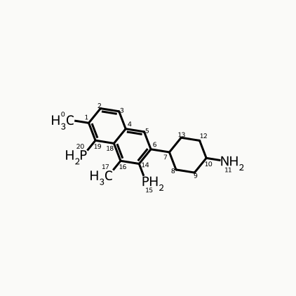 Cc1ccc2cc(C3CCC(N)CC3)c(P)c(C)c2c1P